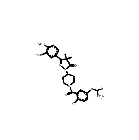 CCC(Oc1ccc(Cl)c(C(=O)N2CCC(N3N=C(c4ccc(OC)c(OC)c4)C(C)(C)C3=O)CC2)c1)C(=O)O